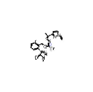 C=Cn1ccc(C(C)=N/N=C(/CC)OCc2c(C)cccc2-n2nnn(C)c2=O)n1